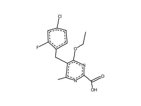 CCOc1nc(C(=O)O)nc(C)c1Cc1ccc(Cl)cc1F